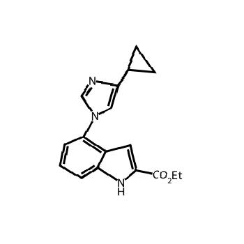 CCOC(=O)c1cc2c(-n3cnc(C4CC4)c3)cccc2[nH]1